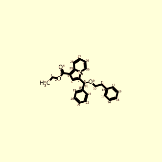 CCOC(=O)c1cc([C@@H](OCCc2ccccc2)c2ccccc2)n2ccccc12